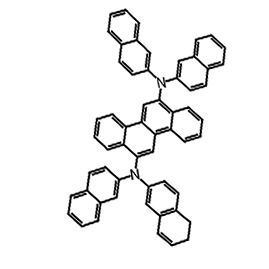 C1=Cc2cc(N(c3ccc4ccccc4c3)c3cc4c5ccccc5c(N(c5ccc6ccccc6c5)c5ccc6ccccc6c5)cc4c4ccccc34)ccc2CC1